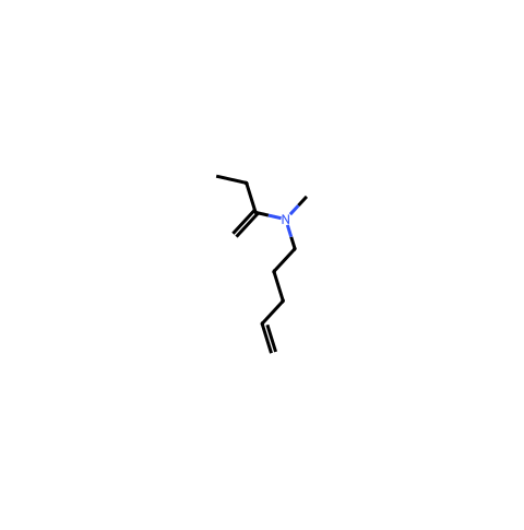 C=CCCCN(C)C(=C)CC